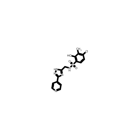 Cc1c(Cl)ccc(S(=O)(=O)NCc2nc(-c3ccncc3)n[nH]2)c1O